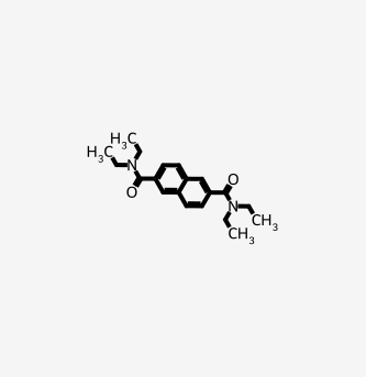 CCN(CC)C(=O)c1ccc2cc(C(=O)N(CC)CC)ccc2c1